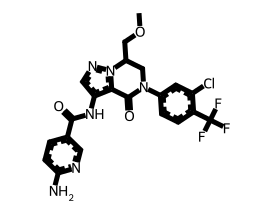 COCC1CN(c2ccc(C(F)(F)F)c(Cl)c2)C(=O)c2c(NC(=O)c3ccc(N)nc3)cnn21